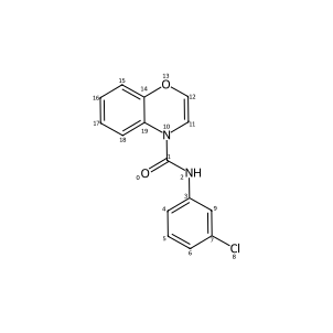 O=C(Nc1cccc(Cl)c1)N1C=COc2ccccc21